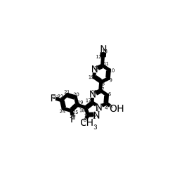 Cc1nn2c(O)cc(-c3ccc(C#N)nc3)nc2c1-c1ccc(F)cc1F